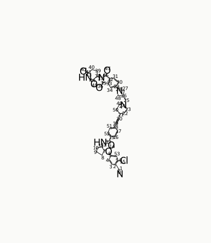 N#Cc1ccc(OC2CCCC2NC(=O)c2ccc(C#CC3CCN(CC4CN(c5ccc6c(c5)C(=O)N(C5CCC(=O)NC5=O)C6=O)C4)CC3)cc2)cc1Cl